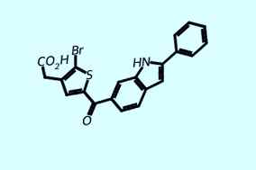 O=C(O)Cc1cc(C(=O)c2ccc3cc(-c4ccccc4)[nH]c3c2)sc1Br